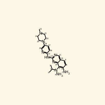 CC(C)N(N)c1c(N)ccc2cnc(Nc3ccc(N4CCN(C)CC4)cn3)nc12